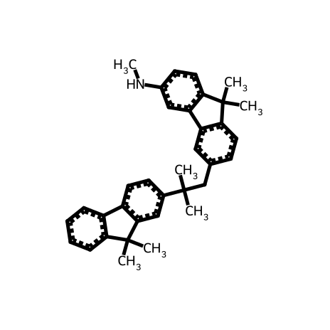 CNc1ccc2c(c1)-c1cc(CC(C)(C)c3ccc4c(c3)C(C)(C)c3ccccc3-4)ccc1C2(C)C